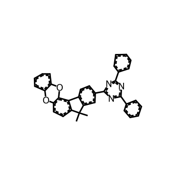 CC1(C)c2cc(-c3nc(-c4ccccc4)nc(-c4ccccc4)n3)ccc2-c2c1ccc1c2Oc2ccccc2O1